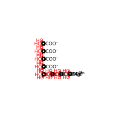 O=C([O-])c1cc(O)c(O)c(O)c1.O=C([O-])c1cc(O)c(O)c(O)c1.O=C([O-])c1cc(O)c(O)c(O)c1.O=C([O-])c1cc(O)c(O)c(O)c1.O=C([O-])c1cc(O)c(O)c(O)c1.O=C([O-])c1cc(O)c(O)c(O)c1.O=C([O-])c1cc(O)c(O)c(O)c1.O=C([O-])c1cc(O)c(O)c(O)c1.[Al+3].[La+3].[Mg+2]